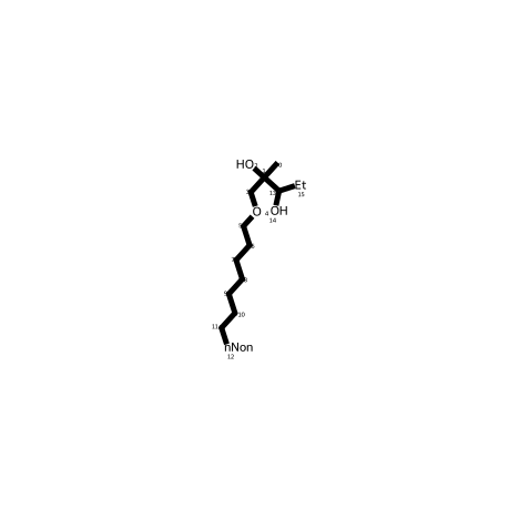 [CH2]C(O)(COCCCCCCCCCCCCCCCC)C(O)CC